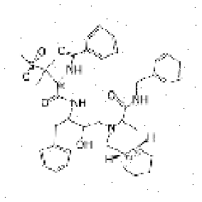 CC(C)([C@H](NC(=O)c1ccccc1)C(=O)NC(Cc1ccccc1)C(O)CN1C[C@H]2CCCC[C@H]2CC1C(=O)NCc1ccccc1)S(C)(=O)=O